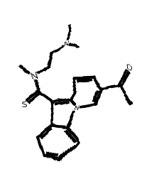 CC(=O)c1ccc2c(C(=S)N(C)CCN(C)C)c3ccccc3n2c1